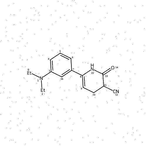 CCN(CC)c1cccc(C2=CCC(C#N)C(=O)N2)c1